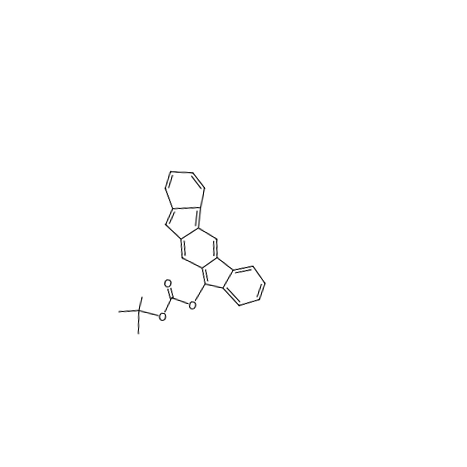 CC(C)(C)OC(=O)OC1=c2cc3c(cc2-c2ccccc21)=c1ccccc1=C3